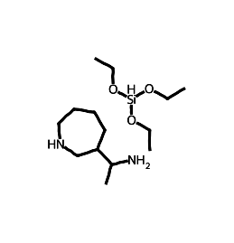 CC(N)C1CCCCNC1.CCO[SiH](OCC)OCC